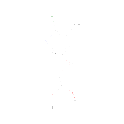 CCOC(COc1cnc(F)c(C)c1)OCC